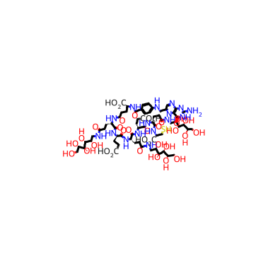 Nc1nc2ncc(CNc3ccc(C(=O)N[C@H](CCC(=O)N[C@@H](CCC(=O)NC[C@H](O)[C@@H](O)[C@H](O)[C@H](O)CO)C(=O)N[C@H](CCC(=O)O)C(=O)N[C@@H](CCC(=O)NC[C@H](O)[C@@H](O)[C@H](O)[C@H](O)CO)C(=O)N[C@H](CCC(=O)O)C(=O)N[C@@H](CCC(=O)NC[C@H](O)[C@@H](O)[C@H](O)[C@H](O)CO)C(=O)N[C@H](CS)C(=O)O)C(=O)O)cc3)nc2c(=O)[nH]1